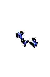 c1ccc(-c2cc(-c3ccc(-c4ccc(-n5c6ccccc6c6cc(-c7ccc8c9ccccc9n(-c9ccccc9)c8c7)ccc65)cc4)cc3)nc(-c3ccccc3)n2)cc1